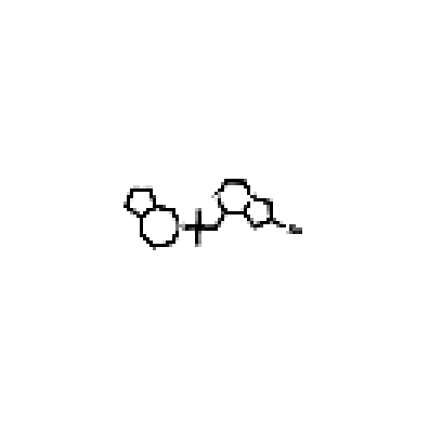 CC(C)(C)C1CC2C(CC(C)(C)N3CCCC4CCCC4C3)OCCN2C1